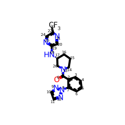 O=C(c1ccccc1-n1nccn1)N1CCC[C@@H](Nc2cnc(C(F)(F)F)cn2)C1